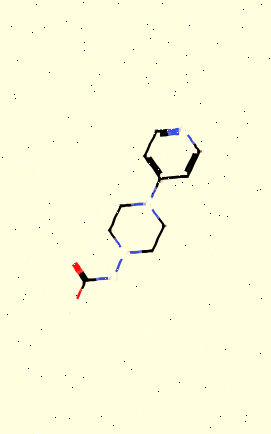 [O]C(=O)NN1CCN(c2ccncc2)CC1